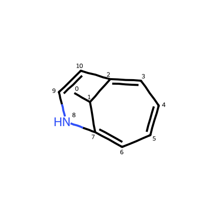 CC1C2=CC=CC=C1NC=C2